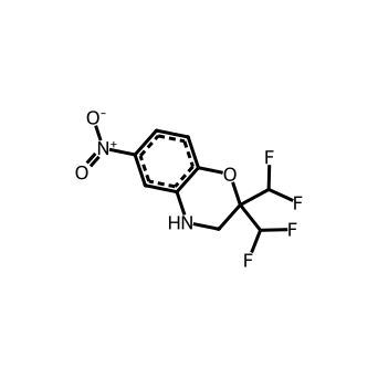 O=[N+]([O-])c1ccc2c(c1)NCC(C(F)F)(C(F)F)O2